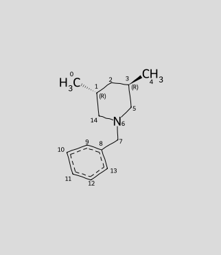 C[C@@H]1C[C@@H](C)CN(Cc2ccccc2)C1